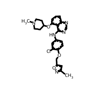 Cc1cc(COc2ccc(Nc3ncnc4cccc(OC5CCN(C)CC5)c34)cc2Cl)on1